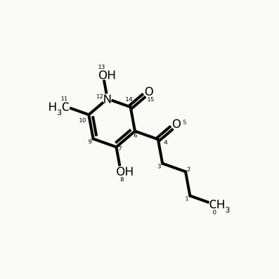 CCCCC(=O)c1c(O)cc(C)n(O)c1=O